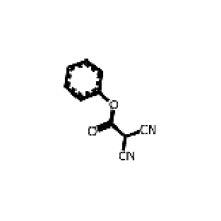 N#CC(C#N)C(=O)Oc1ccccc1